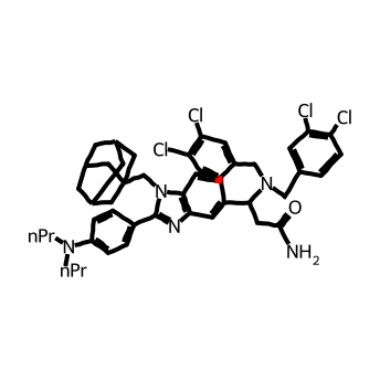 CCCN(CCC)c1ccc(-c2nc3cc(C(CC(N)=O)N(Cc4ccc(Cl)c(Cl)c4)Cc4ccc(Cl)c(Cl)c4)ccc3n2CC23CC4CC(CC(C4)C2)C3)cc1